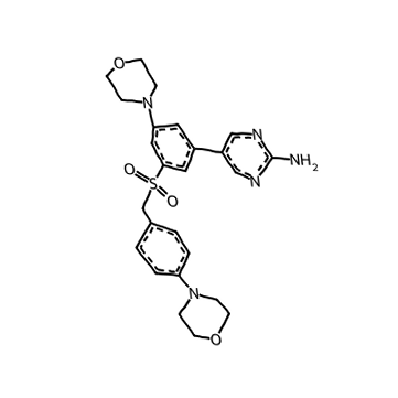 Nc1ncc(-c2cc(N3CCOCC3)cc(S(=O)(=O)Cc3ccc(N4CCOCC4)cc3)c2)cn1